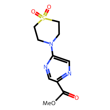 COC(=O)c1cnc(N2CCS(=O)(=O)CC2)cn1